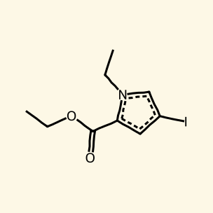 CCOC(=O)c1cc(I)cn1CC